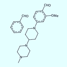 COc1cc(N2CCC(N3CCN(C)CC3)CC2)ccc1C=O.O=Cc1ccccc1